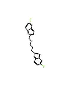 Fc1ccc2cc(CCCCCc3ccc4cc(F)ccc4c3)ccc2c1